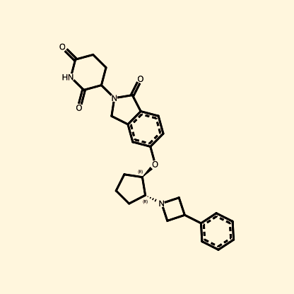 O=C1CCC(N2Cc3cc(O[C@@H]4CCC[C@H]4N4CC(c5ccccc5)C4)ccc3C2=O)C(=O)N1